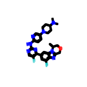 CC1COCc2nc3c(F)cc(-c4nc(Nc5ccc(N6CCC(N(C)C)CC6)cn5)ncc4F)cc3n21